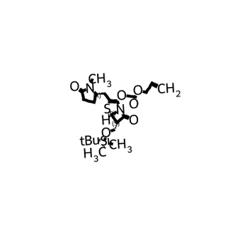 C=CCOC(=O)OC1=C(C[C@H]2CCC(=O)N2C)S[C@@H]2[C@@H](CO[Si](C)(C)C(C)(C)C)C(=O)N12